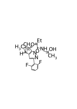 CC[C@@H](O[C@@]12CC[C@@H](c3cc(-c4c(F)cccc4F)nnc31)C2(C)C)C(=O)NC[C@H](C)O